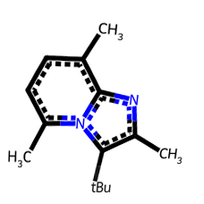 Cc1nc2c(C)ccc(C)n2c1C(C)(C)C